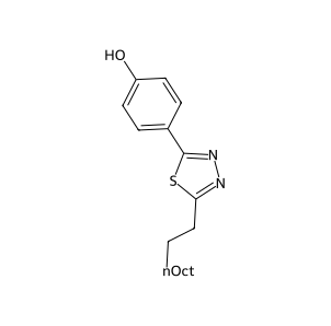 CCCCCCCCCCc1nnc(-c2ccc(O)cc2)s1